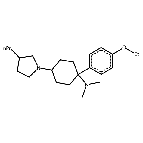 CCCC1CCN(C2CCC(c3ccc(OCC)cc3)(N(C)C)CC2)C1